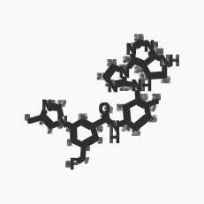 Cc1cn(-c2cc(CF)cc(C(=O)Nc3ccc(C)c(Nc4nccn4-c4ncnc5[nH]ccc45)c3)c2)cn1